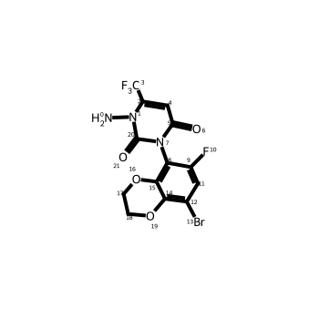 Nn1c(C(F)(F)F)cc(=O)n(-c2c(F)cc(Br)c3c2OCCO3)c1=O